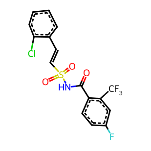 O=C(NS(=O)(=O)C=Cc1ccccc1Cl)c1ccc(F)cc1C(F)(F)F